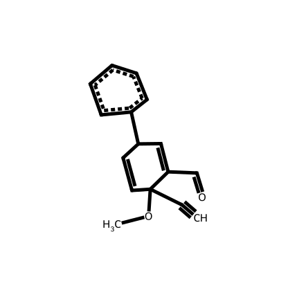 C#CC1(OC)C=CC(c2ccccc2)C=C1C=O